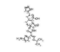 CC(C)ON=C(C(=O)NC1C(=O)N2C(C(=O)O)=C(CSc3cnn[nH]3)CS[C@@H]12)c1csc(N)n1